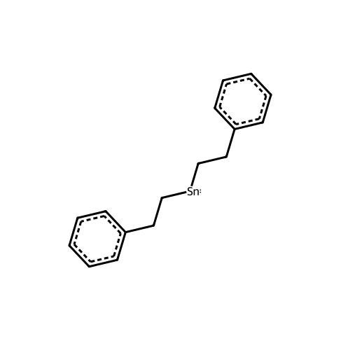 c1ccc(C[CH2][Sn][CH2]Cc2ccccc2)cc1